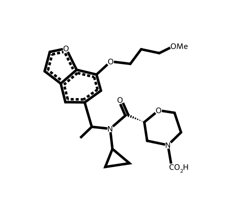 COCCCOc1cc(C(C)N(C(=O)[C@H]2CN(C(=O)O)CCO2)C2CC2)cc2ccoc12